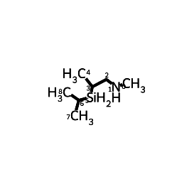 CNCC(C)[SiH2]C(C)C